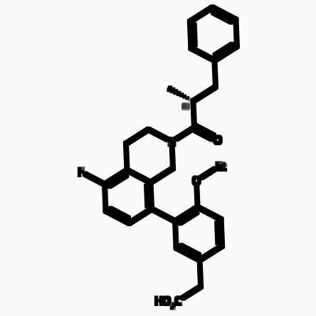 CCOc1ccc(CC(=O)O)cc1-c1ccc(F)c2c1CN(C(=O)[C@H](C)Cc1ccccc1)CC2